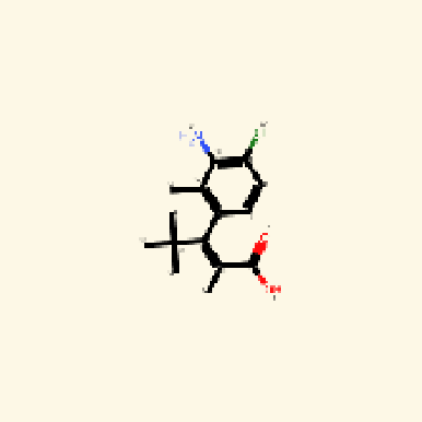 CC(C(=O)O)=C(c1ccc(Cl)c(N)c1C)C(C)(C)C